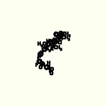 Cc1cc(Nc2ncc(Cl)c(Nc3ccccc3S(=O)(=O)C(C)C)n2)c(OC(C)C)cc1N1CCC(N2CCN(Cc3cc(F)c4c(c3)CN(C3CCC(C(=O)C=O)NC3)C4=O)CC2)CC1